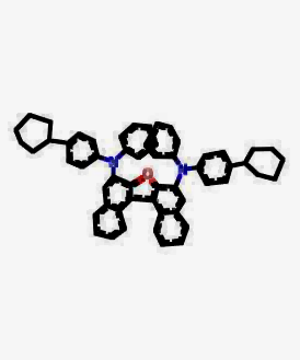 c1ccc(N(c2ccc(C3CCCCC3)cc2)c2cc3ccccc3c3c2oc2c(N(c4ccccc4)c4ccc(C5CCCCC5)cc4)cc4ccccc4c23)cc1